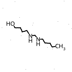 CCCCCNCNCCCCO